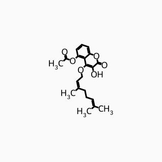 CC(=O)Oc1cccc2oc(=O)c(O)c(OCC=C(C)CCC=C(C)C)c12